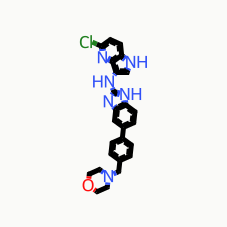 Clc1ccc2[nH]cc(Nc3nc4cc(-c5ccc(CN6CCOCC6)cc5)ccc4[nH]3)c2n1